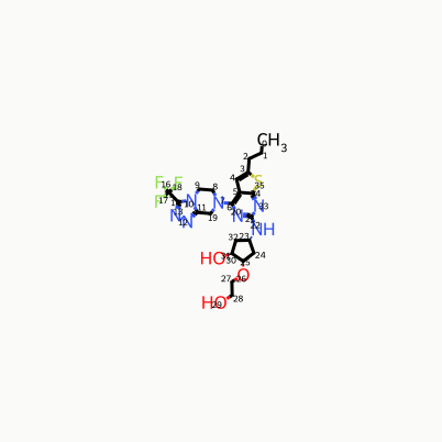 CCCc1cc2c(N3CCn4c(nnc4C(F)(F)F)C3)nc(N[C@@H]3C[C@H](OCCO)[C@@H](O)C3)nc2s1